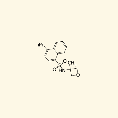 CC(C)c1ccc(S(=O)(=O)NC2(C)COC2)c2ccccc12